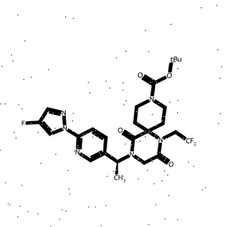 C[C@@H](c1ccc(-n2cc(F)cn2)nc1)N1CC(=O)N(CC(F)(F)F)C2(CCN(C(=O)OC(C)(C)C)CC2)C1=O